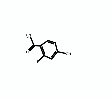 NC(=O)c1ccc(O)cc1F